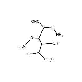 NOC(C=O)C(ON)C(O)C(O)C(=O)O